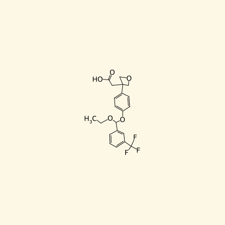 CCOC(Oc1ccc(C2(CC(=O)O)COC2)cc1)c1cccc(C(F)(F)F)c1